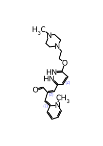 CN1CCN(CCOC(=N)/C=C\C(=N)/C=C(C=O)/C=C2/C=CC=CN2C)CC1